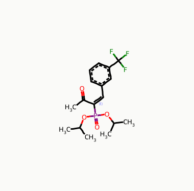 CC(=O)/C(=C\c1cccc(C(F)(F)F)c1)P(=O)(OC(C)C)OC(C)C